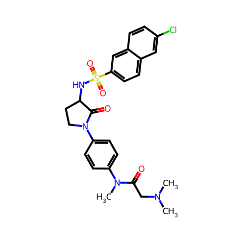 CN(C)CC(=O)N(C)c1ccc(N2CCC(NS(=O)(=O)c3ccc4cc(Cl)ccc4c3)C2=O)cc1